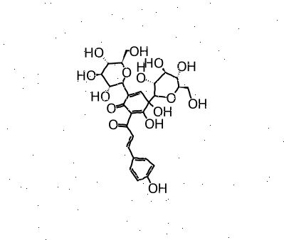 O=C(/C=C/c1ccc(O)cc1)C1=C(O)C(O)(C2O[C@H](CO)[C@@H](O)[C@H](O)[C@H]2O)C=C(C2O[C@H](CO)[C@@H](O)[C@H](O)[C@H]2O)C1=O